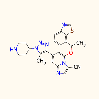 Cc1c(-c2cc(OC(C)c3cccc4ncsc34)n3c(C#N)cnc3c2)nnn1C1CCNCC1